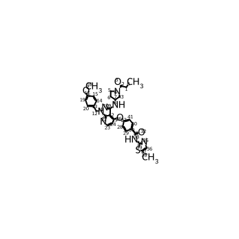 CCC(=O)N1CCC(Nc2nn(Cc3ccc(OC)cc3)c3nccc(Oc4ccc(C(=O)Nc5ncc(C)s5)cc4)c23)C1